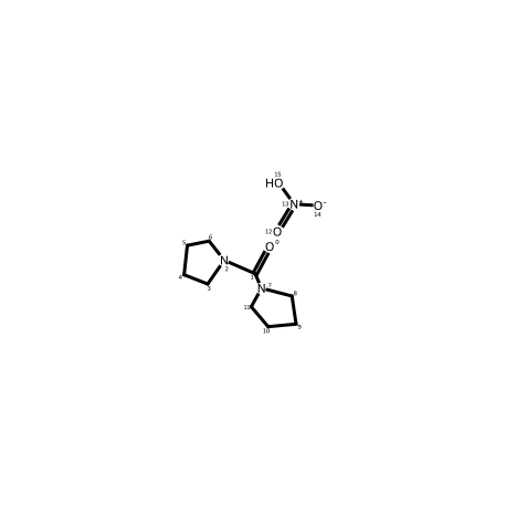 O=C(N1CCCC1)N1CCCC1.O=[N+]([O-])O